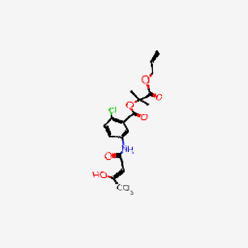 C=CCOC(=O)C(C)(C)OC(=O)c1cc(NC(=O)C=C(O)C(Cl)(Cl)Cl)ccc1Cl